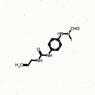 C=CCNC(=O)Nc1ccc(NN(I)C=O)cc1